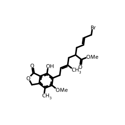 COC(=O)C(C/C=C/CBr)C/C(C)=C/Cc1c(O)c2c(c(C)c1OC)COC2=O